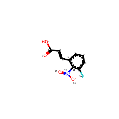 O=C(O)/C=C/c1cccc(F)c1[N+](=O)[O-]